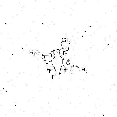 C=CC(=O)OC1(F)C(F)(F)C(F)(CF)C(F)(F)C(CF)(OC(=O)C=C)C(F)(F)C(F)(OC(=O)C=C)C1(F)F